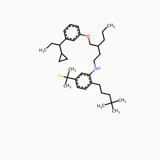 CCCC(CCNc1cc(C(C)(C)F)ccc1CCCC(C)(C)C)COc1cccc(C(CC)C2CC2)c1